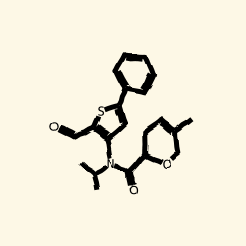 CC1=CCC(C(=O)N(c2cc(-c3ccccc3)sc2C=O)C(C)C)OC1